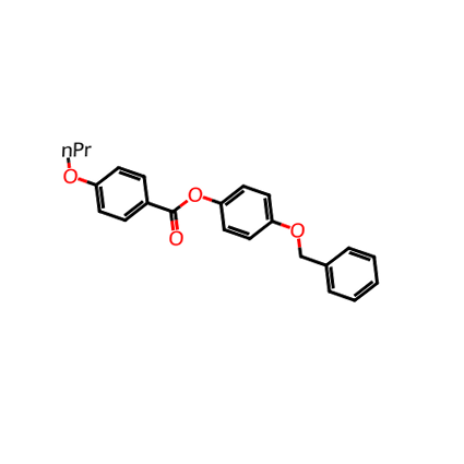 CCCOc1ccc(C(=O)Oc2ccc(OCc3ccccc3)cc2)cc1